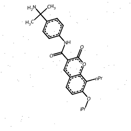 CCCc1c(OC(C)C)ccc2cc(C(=O)Nc3ccc(C(C)(C)N)cc3)c(=O)oc12